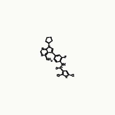 Nc1ncnc2c1c(-c1ccc(N[S+]([O-])c3cc(Cl)sc3Cl)c(F)c1)cn2C1CCCC1